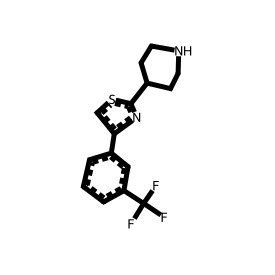 FC(F)(F)c1cccc(-c2csc(C3CCNCC3)n2)c1